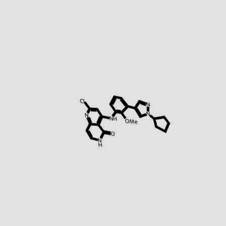 COc1c(Nc2cc(Cl)nc3cc[nH]c(=O)c23)cccc1-c1cnn(C2CCCC2)c1